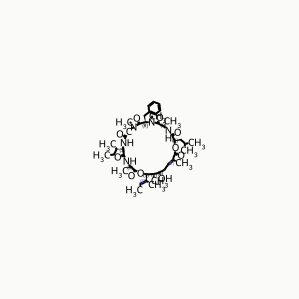 C/C=C(\C)[C@H]1OC(=O)[C@@H](C)NC(=O)[C@H](C(C)CC)NC(=O)CN(C)C(=O)[C@@H](Cc2ccccc2)N(C)C(=O)[C@H](C)NC(=O)[C@@H](CC(C)C)OC(=O)/C(C)=C/C[C@H](O)[C@@H]1C